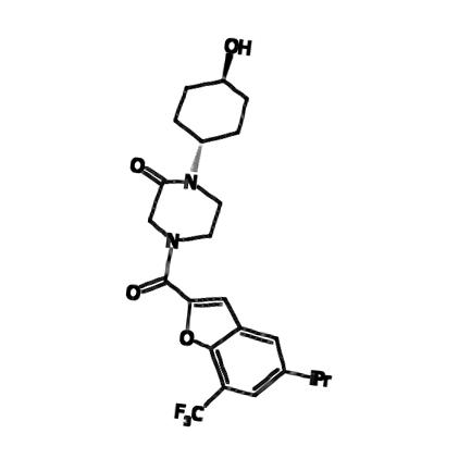 CC(C)c1cc(C(F)(F)F)c2oc(C(=O)N3CCN([C@H]4CC[C@H](O)CC4)C(=O)C3)cc2c1